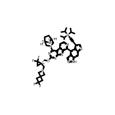 CC(C)[Si](C#Cc1csc2cc3[nH]ncc3c(-c3nccc4c3sc3nc(OC[C@]5(CN6CC7(C6)CC(F)(F)C7)CC5(F)F)nc(N5C[C@H]6CC[C@@H](C5)N6)c34)c12)(C(C)C)C(C)C